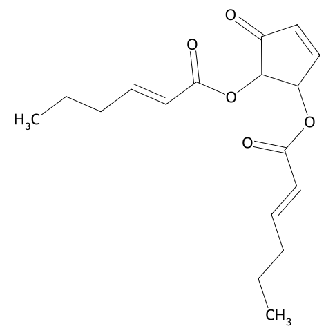 CCC/C=C/C(=O)OC1C=CC(=O)C1OC(=O)/C=C/CCC